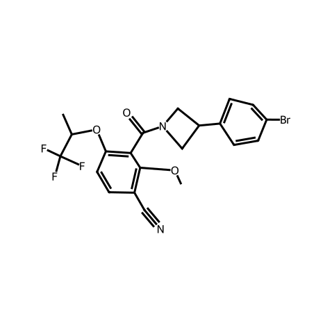 COc1c(C#N)ccc(OC(C)C(F)(F)F)c1C(=O)N1CC(c2ccc(Br)cc2)C1